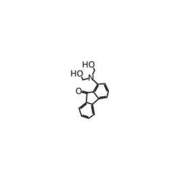 O=C1c2ccccc2-c2cccc(N(CO)CO)c21